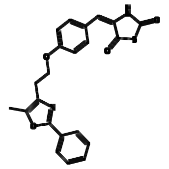 Cc1oc(-c2ccccc2)nc1CCOc1ccc(C=C2NC(=O)SC2=O)cc1